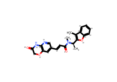 Cc1c([C@@H](C)N(C)C(=O)/C=C/c2cnc3c(c2)OCC(=O)N3)oc2ccccc12